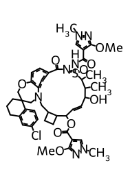 COc1nn(C)cc1C(=O)NS1(=O)=NC(=O)c2ccc3c(c2)N(CC2CCC2C(OC(=O)c2cn(C)nc2OC)/C=C/C(O)C(C)C1C)CC1(CCCc2cc(Cl)ccc21)CO3